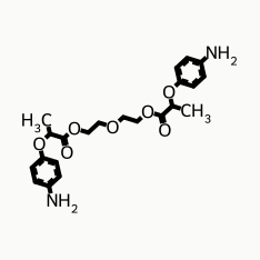 CC(Oc1ccc(N)cc1)C(=O)OCCOCCOC(=O)C(C)Oc1ccc(N)cc1